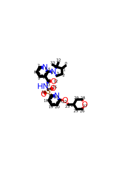 CC1CCN(c2ncccc2C(=O)NS(=O)(=O)c2cccc(OCC3CCOCC3)n2)C1(C)C